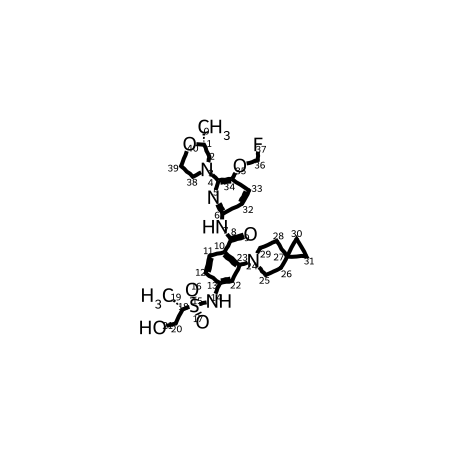 C[C@@H]1CN(c2nc(NC(=O)c3ccc(NS(=O)(=O)[C@@H](C)CO)cc3N3CCC4(CC3)CC4)ccc2OCF)CCO1